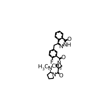 CN(C)[C@@H]1CCCN1C(=O)C1CN(C(=O)c2cc(Cc3n[nH]c(=O)c4ccccc34)ccc2F)C1